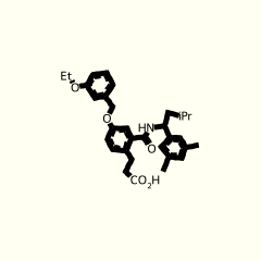 CCOc1cccc(COc2ccc(CCC(=O)O)c(C(=O)NC(CC(C)C)c3cc(C)cc(C)c3)c2)c1